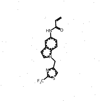 C=CC(=O)Nc1ccc2c(ccn2Cc2csc(C(F)(F)F)n2)c1